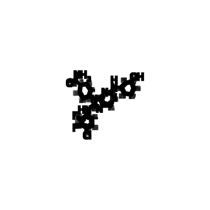 NC(=O)[C@H]1CC[C@@H](n2c(Nc3ccc(Cl)c(F)c3F)nc3cnc(N[C@@H]4CCC[C@H](O)C4)nc32)CC1